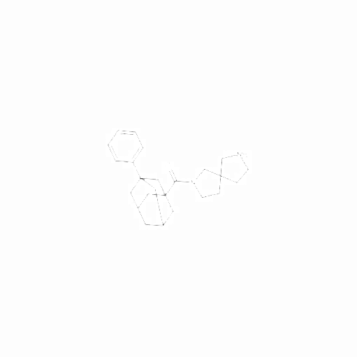 O=C(N1CCC2(CCNC2)C1)C12CC3CC(C1)CC(c1ccccc1)(C3)C2